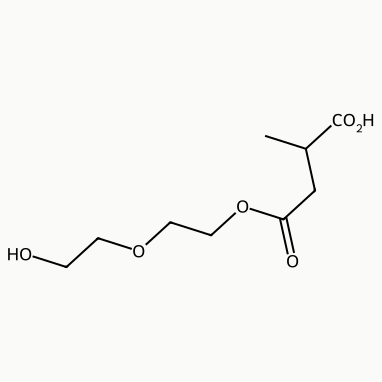 CC(CC(=O)OCCOCCO)C(=O)O